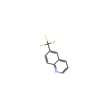 FC(F)(F)c1ccc2nc[c]cc2c1